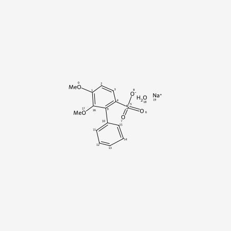 COc1ccc(S(=O)(=O)[O-])c(-c2ccccc2)c1OC.O.[Na+]